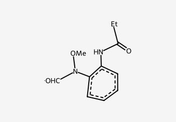 CCC(=O)Nc1ccccc1N([C]=O)OC